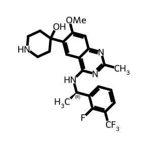 COc1cc2nc(C)nc(N[C@H](C)c3cccc(C(F)(F)F)c3F)c2cc1C1(O)CCNCC1